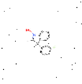 CC(=NO)C(C)(c1ccccc1)c1cccc(F)c1